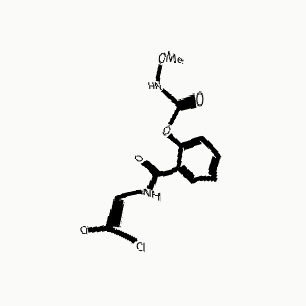 CONC(=O)Oc1ccccc1C(=O)NC=C(Cl)Cl